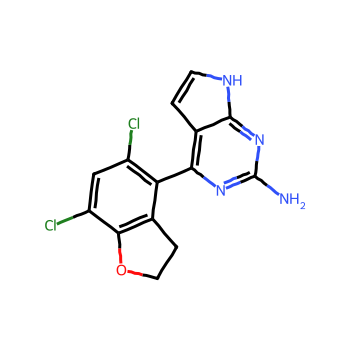 Nc1nc(-c2c(Cl)cc(Cl)c3c2CCO3)c2cc[nH]c2n1